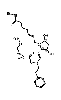 CCNC(=O)CCCC=CC[C@@H]1[C@@H](C=CC(CCc2ccccc2)OC(=O)[C@@H]2C[C@H]2CO[N+](=O)[O-])[C@H](O)C[C@@H]1O